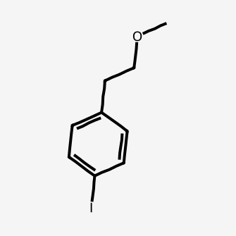 COCCc1ccc(I)cc1